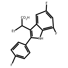 CCC(C(=O)O)c1c(-c2ccc(F)cc2)[nH]c2c(F)cc(F)cc12